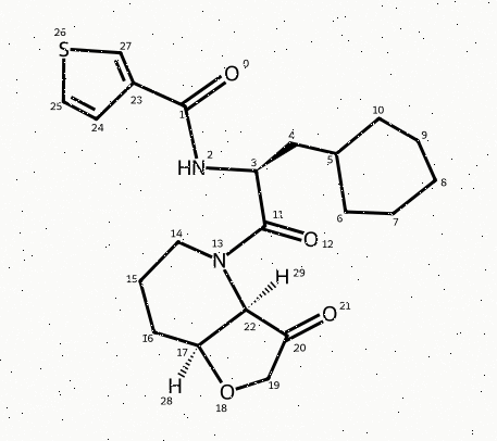 O=C(N[C@@H](CC1CCCCC1)C(=O)N1CCC[C@@H]2OCC(=O)[C@@H]21)c1ccsc1